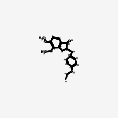 COc1ccc2c(c1OC)CC(Cc1ccc(SCF)cc1)C2=O